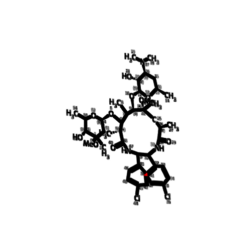 COC1(C)C[C@H](OC2C(C)[C@@H](O[C@@H]3O[C@H](C)C[C@H](N(C)C)[C@H]3O)[C@](C)(OC)C[C@@H](C)C(=O)NC(c3ccc(Cl)cc3)C(c3ccc(Cl)cc3)NC(=O)[C@@H]2C)OC(C)[C@@H]1O